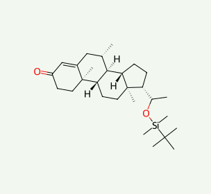 CC(O[Si](C)(C)C(C)(C)C)[C@H]1CC[C@H]2[C@@H]3[C@@H](C)CC4=CC(=O)CC[C@]4(C)[C@H]3CC[C@]12C